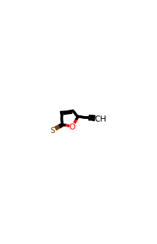 C#CC1C=CC(=S)O1